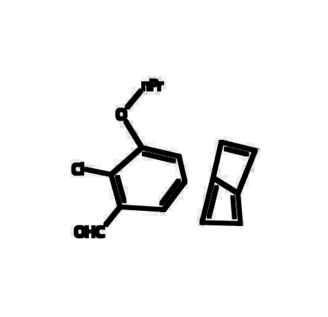 CCCOc1cccc(C=O)c1Cl.c1cc2ccc1-2